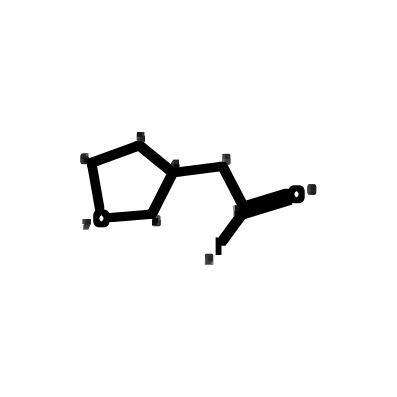 O=C(I)CC1CCOC1